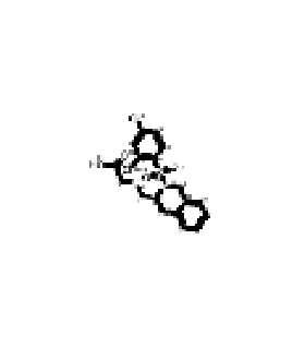 O=C(O)COC[C@@H]1Cc2ccccc2CN1S(=O)(=O)c1ccc(Cl)cc1Cl